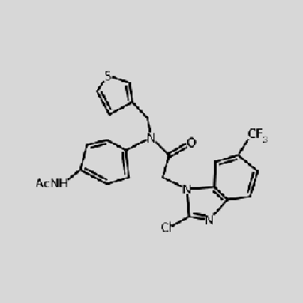 CC(=O)Nc1ccc(N(Cc2ccsc2)C(=O)Cn2c(Cl)nc3ccc(C(F)(F)F)cc32)cc1